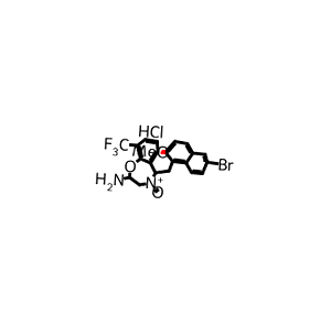 COc1ccc2cc(Br)ccc2c1CC1c2cccc(C(F)(F)F)c2OC(N)C[N+]1=O.Cl